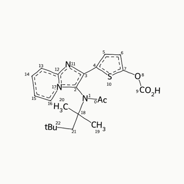 CC(=O)N(c1c(-c2ccc(OC(=O)O)s2)nc2ccccn12)C(C)(C)CC(C)(C)C